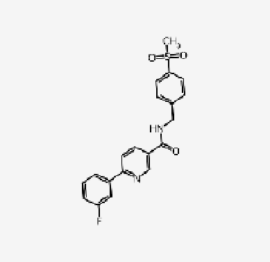 CS(=O)(=O)c1ccc(CNC(=O)c2ccc(-c3cccc(F)c3)nc2)cc1